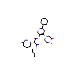 CCCC[C@@H]1CCC(F)CN[C@@H]1C(C(=O)NC1=C(N2CCN(C)C(=O)C2)CC(C2CCCCC2)NC1)C(N)N